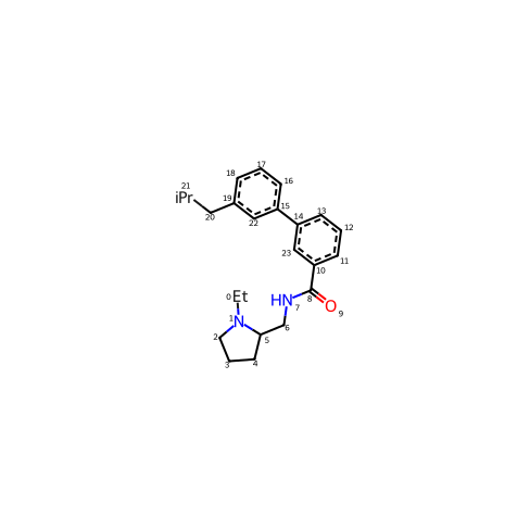 CCN1CCCC1CNC(=O)c1cccc(-c2cccc(CC(C)C)c2)c1